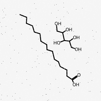 CCCCCCCCCCCCCCCC(=O)O.OCC(O)C(O)C(O)CO